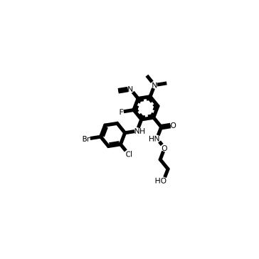 C=Nc1c(N(C)C)cc(C(=O)NOCCO)c(NC2CC=C(Br)C=C2Cl)c1F